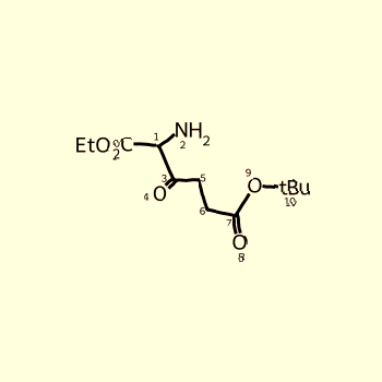 CCOC(=O)C(N)C(=O)CCC(=O)OC(C)(C)C